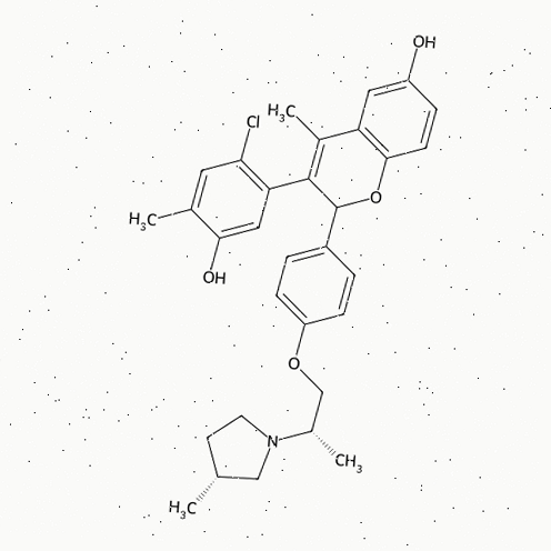 CC1=C(c2cc(O)c(C)cc2Cl)C(c2ccc(OC[C@H](C)N3CC[C@@H](C)C3)cc2)Oc2ccc(O)cc21